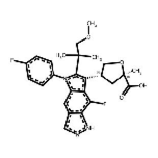 COCC(C)(C)c1c([C@@H]2CO[C@@](C)(C(=O)O)C2)c2c(F)c3[nH]ncc3cc2n1-c1ccc(F)cc1